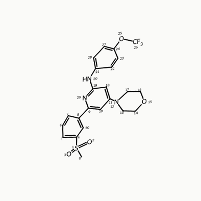 CS(=O)(=O)c1cccc(-c2cc(N3CCOCC3)cc(Nc3ccc(OC(F)(F)F)cc3)n2)c1